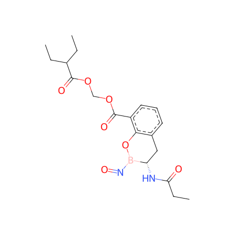 CCC(=O)N[C@H]1Cc2cccc(C(=O)OCOC(=O)C(CC)CC)c2OB1N=O